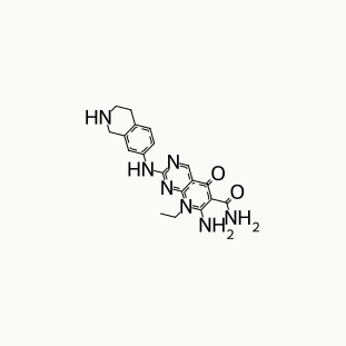 CCn1c(N)c(C(N)=O)c(=O)c2cnc(Nc3ccc4c(c3)CNCC4)nc21